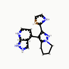 c1csc(-c2nn3c(c2-c2ccnc4[nH]ncc24)CCCC3)n1